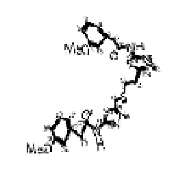 COc1cccc(CC(=O)Nc2nnc(CCSCc3nnc(NC(=O)Cc4cccc(OC)c4)s3)s2)c1